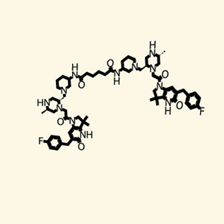 C[C@@H]1CN(CC(=O)N2CC(C)(C)c3[nH]c(=O)c(Cc4ccc(F)cc4)cc32)[C@@H](CN2CCCC(NC(=O)CCCCC(=O)NC3CCCN(C[C@H]4CN[C@H](C)CN4CC(=O)N4CC(C)(C)c5[nH]c(=O)c(Cc6ccc(F)cc6)cc54)C3)C2)CN1